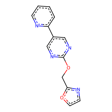 c1ccc(-c2cnc(OCc3ncco3)nc2)nc1